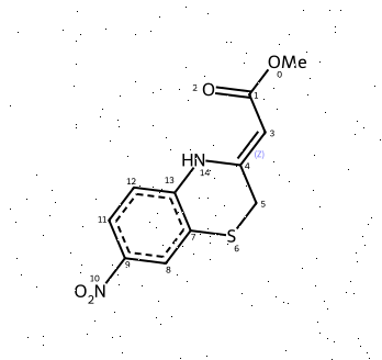 COC(=O)/C=C1/CSc2cc([N+](=O)[O-])ccc2N1